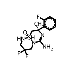 C[C@@]1(c2ccccc2F)C[SH]2(=O)NCC(F)(F)CN2C(N)=N1